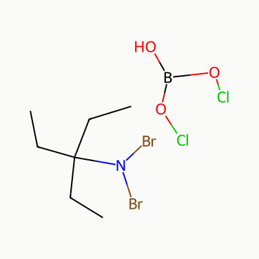 CCC(CC)(CC)N(Br)Br.OB(OCl)OCl